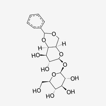 OC[C@H]1O[C@@H](O[C@@H]2O[C@@H]3COC(c4ccccc4)O[C@@H]3[C@H](O)[C@H]2O)[C@H](O)[C@@H](O)[C@@H]1O